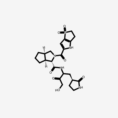 O=C(CO)C(C[C@@H]1CCNC1=O)NC(=O)[C@@H]1[C@H]2CCC[C@H]2CN1C(=O)c1cc2c([nH]1)CCS2(=O)=O